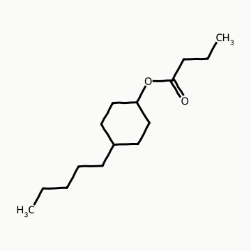 CCCCCC1CCC(OC(=O)CCC)CC1